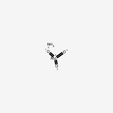 N.[O]=[Mo](=[O])=[O]